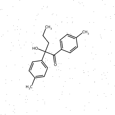 CCCC(O)(C(=O)c1ccc(C)cc1)c1ccc(C)cc1